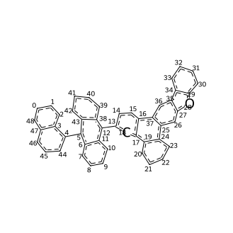 c1ccc2c(-c3c4ccccc4c(-c4ccc5c(c4)c4ccccc4c4cc6oc7ccccc7c6cc54)c4ccccc34)cccc2c1